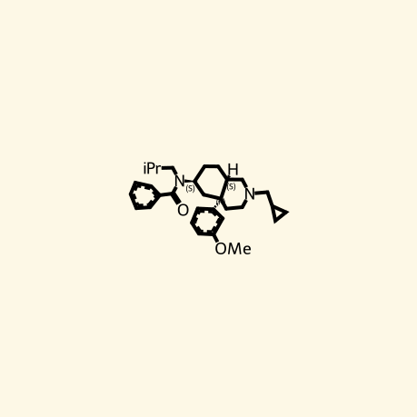 COc1cccc([C@@]23CCN(CC4CC4)C[C@H]2CC[C@H](N(CC(C)C)C(=O)c2ccccc2)C3)c1